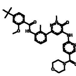 COc1cc(C(C)(C)C)ccc1C(=O)Nc1cccc(-c2cc(Nc3ccc(C(=O)N4CCOCC4)cn3)c(=O)n(C)n2)c1C